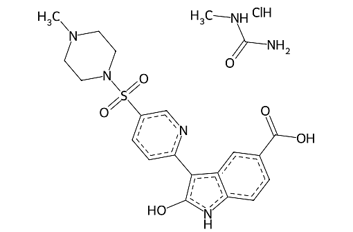 CN1CCN(S(=O)(=O)c2ccc(-c3c(O)[nH]c4ccc(C(=O)O)cc34)nc2)CC1.CNC(N)=O.Cl